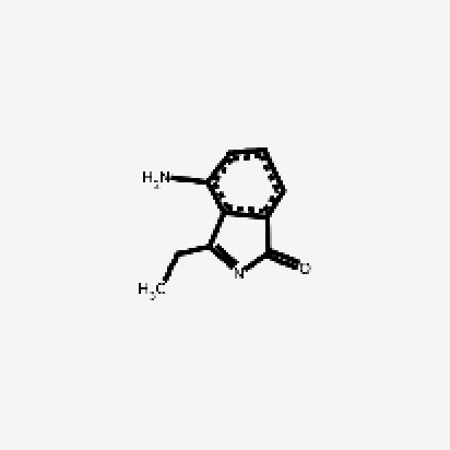 CCC1=NC(=O)c2cccc(N)c21